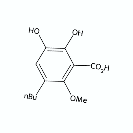 CCCCc1cc(O)c(O)c(C(=O)O)c1OC